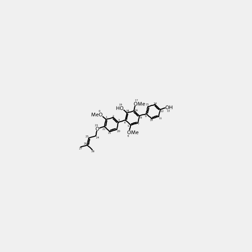 COc1cc(-c2c(OC)cc(-c3ccc(O)cc3)c(OC)c2O)ccc1OCC=C(C)C